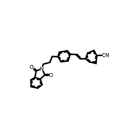 N#Cc1ccc(C=Cc2ccc(CCCN3C(=O)c4ccccc4C3=O)cc2)cc1